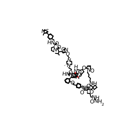 Cc1ncsc1-c1ccc(CNC(=O)[C@@H]2CCCN2C(=O)C(c2cc(OCCN3CCN(CCOc4cc(N5C6CCC5CNC(/C=C(\N=N)c5ccccc5OCc5ccc(NC(=O)[C@H](CCCNC(N)=O)NC(=O)C7(C(=O)NCCCCCN8C(=O)C=CC8=O)CCC7)cc5)=C\NC6)ccn4)[C@H](C)C3)no2)C(C)C)cc1